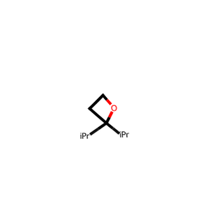 CC(C)C1(C(C)C)CCO1